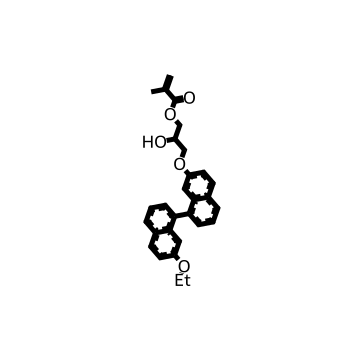 C=C(C)C(=O)OCC(O)COc1ccc2cccc(-c3cccc4ccc(OCC)cc34)c2c1